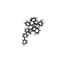 c1ccc(-c2ccc(-c3cccc4c3sc3c5ccccc5c5c(c43)c3c4ccccc4c4ccccc4c3n5-c3ccccc3)cc2)cc1